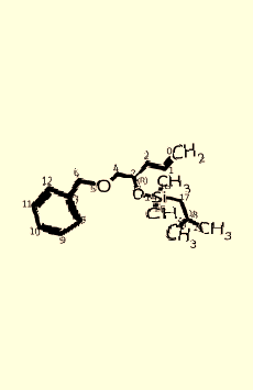 C=CC[C@H](COCc1ccccc1)O[Si](C)(C)CC(C)C